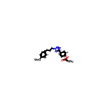 COc1ccc(CCCn2nnc(-c3ccc(OC(=O)C(C)(C)C)cc3)n2)cc1